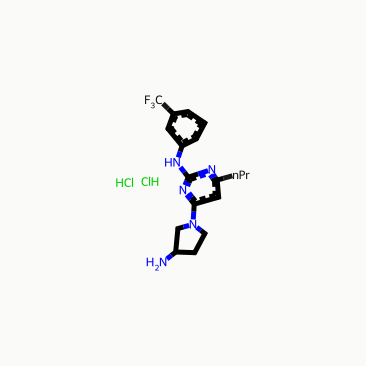 CCCc1cc(N2CCC(N)C2)nc(Nc2cccc(C(F)(F)F)c2)n1.Cl.Cl